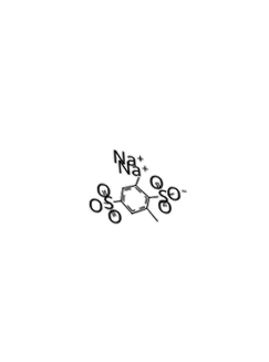 Cc1cc(S(=O)(=O)[O-])cc(C)c1S(=O)(=O)[O-].[Na+].[Na+]